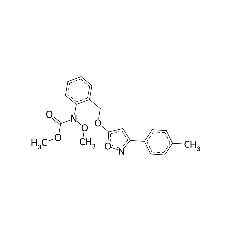 COC(=O)N(OC)c1ccccc1COc1cc(-c2ccc(C)cc2)no1